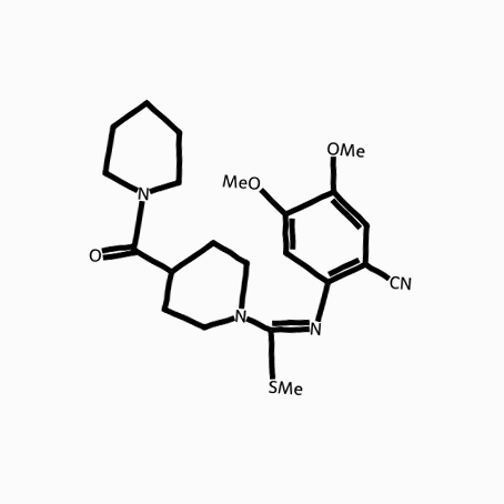 COc1cc(C#N)c(N=C(SC)N2CCC(C(=O)N3CCCCC3)CC2)cc1OC